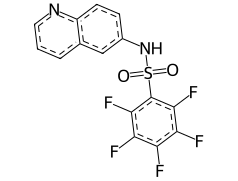 O=S(=O)(Nc1ccc2ncccc2c1)c1c(F)c(F)c(F)c(F)c1F